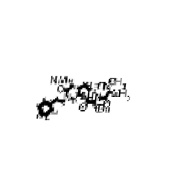 CNCC(=O)N(CCc1ccccc1)C[C@@H]1CCCN1C(=O)[C@@H](NC(=O)[C@H](C)N(C)C)C(C)(C)C